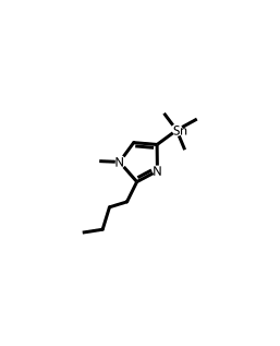 CCCCc1n[c]([Sn]([CH3])([CH3])[CH3])cn1C